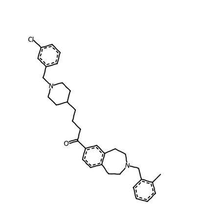 Cc1ccccc1CN1CCc2ccc(C(=O)CCCC3CCN(Cc4cccc(Cl)c4)CC3)cc2CC1